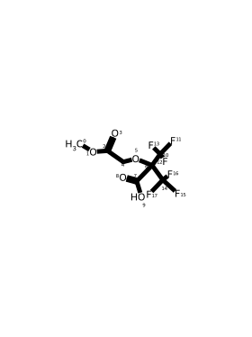 COC(=O)COC(C(=O)O)(C(F)(F)F)C(F)(F)F